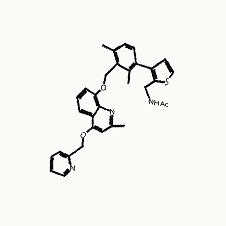 CC(=O)NCc1sccc1-c1ccc(C)c(COc2cccc3c(OCc4ccccn4)cc(C)nc23)c1C